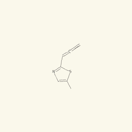 C=C=Cc1ncc(C)s1